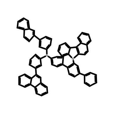 c1ccc(-c2ccc(-c3ccc(N(c4cccc(-c5ccc6ccccc6c5)c4)c4cccc(-c5cc6ccccc6c6ccccc56)c4)cc3)c(-n3c4ccccc4c4c5ccccc5ccc43)c2)cc1